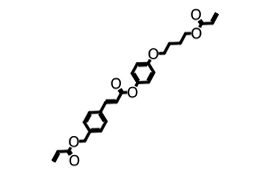 C=CC(=O)OCCCCOc1ccc(OC(=O)C=Cc2ccc(COC(=O)C=C)cc2)cc1